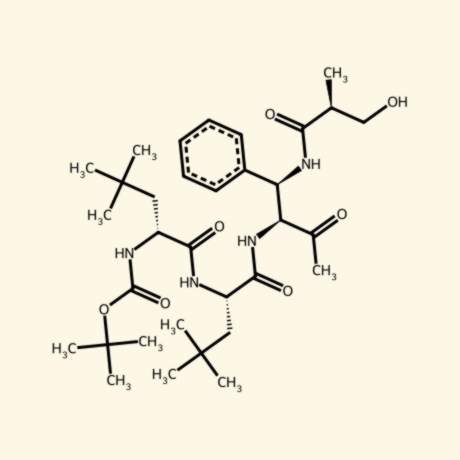 CC(=O)[C@@H](NC(=O)[C@H](CC(C)(C)C)NC(=O)[C@@H](CC(C)(C)C)NC(=O)OC(C)(C)C)[C@H](NC(=O)[C@@H](C)CO)c1ccccc1